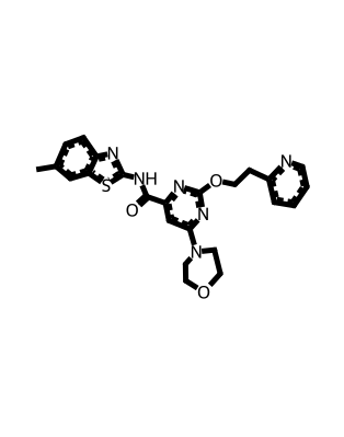 Cc1ccc2nc(NC(=O)c3cc(N4CCOCC4)nc(OCCc4ccccn4)n3)sc2c1